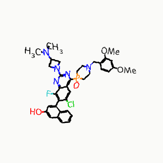 COc1ccc(CN2CCP(=O)(c3nc(N4CC(N(C)C)C4)nc4c(F)c(-c5cc(O)cc6ccccc56)c(Cl)cc34)CC2)c(OC)c1